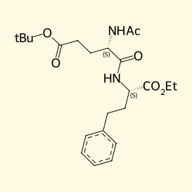 CCOC(=O)[C@H](CCc1ccccc1)NC(=O)[C@H](CCC(=O)OC(C)(C)C)NC(C)=O